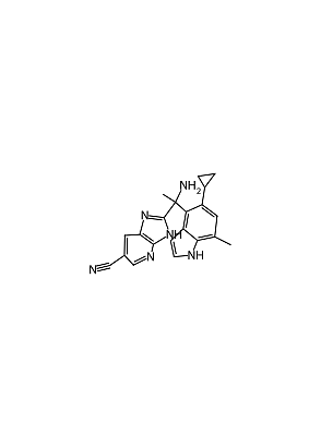 Cc1cc(C2CC2)c(C(C)(N)c2nc3cc(C#N)cnc3[nH]2)c2cc[nH]c12